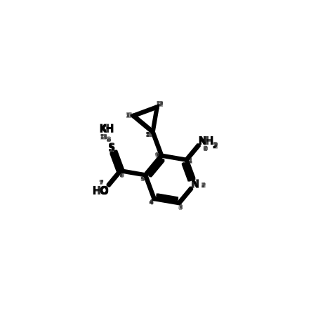 Nc1nccc(C(O)=S)c1C1CC1.[KH]